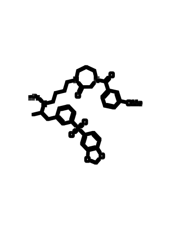 CCCN(CCCCN1CCCN(C(=O)c2cccc(OC)c2)CC1=O)C(C)Cc1cccc(S(=O)(=O)c2ccc3c(c2)OCO3)c1